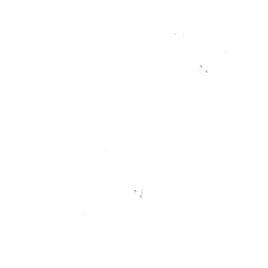 c1ccc(-c2ccc3c(c2)c2cc(-c4ccccc4)ccc2n3-c2cccc(-c3cccc(-c4ccc5c(c4)c4cccc6c4n5-c4ccccc4O6)c3)c2)cc1